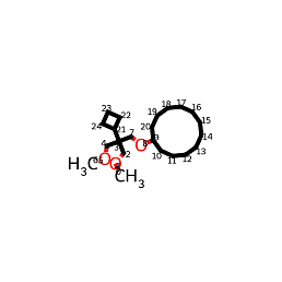 COCC(COC)(COC1CCCCCCCCCCC1)C1CCC1